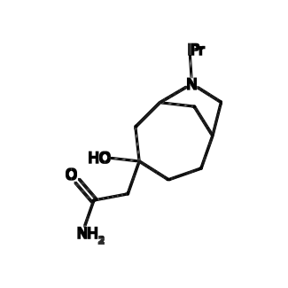 CC(C)N1CC2CCC(O)(CC(N)=O)CC1C2